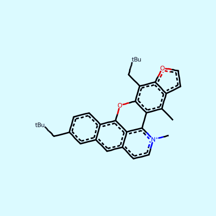 Cc1c2c(c(CC(C)(C)C)c3occc13)Oc1c3ccc(CC(C)(C)C)cc3cc3cc[n+](C)c-2c13